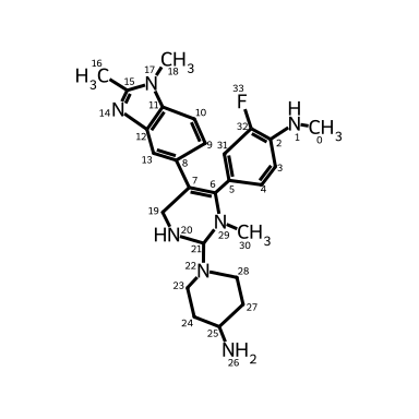 CNc1ccc(C2=C(c3ccc4c(c3)nc(C)n4C)CNC(N3CCC(N)CC3)N2C)cc1F